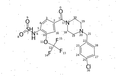 O=C(c1ccc(N[SH](=O)=O)c(OC(F)(F)F)c1)N1CCN(Cc2ccc(Cl)cc2)CC1